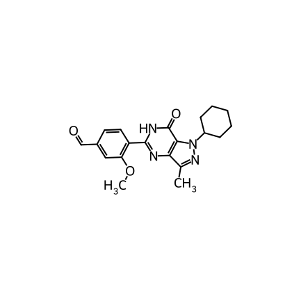 COc1cc(C=O)ccc1-c1nc2c(C)nn(C3CCCCC3)c2c(=O)[nH]1